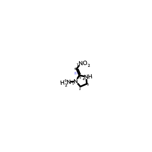 NN1CCN/C1=C\[N+](=O)[O-]